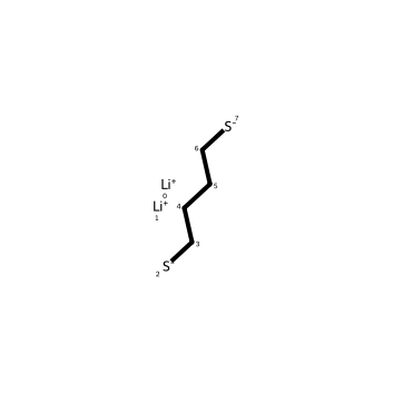 [Li+].[Li+].[S-]CCCC[S-]